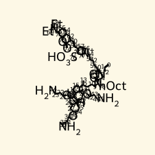 C=CCN(CC(=O)N(CCCCCCCC)CCCC(C)C1CC[C@H]2C3[C@H](OCCCN)CC4C[C@H](OCCCN)CCC4(C)[C@H]3C[C@H](OCCCN)C12C)C(=O)CCCCC[n+]1ccc(/C=C/c2cc3ccc(N(CC)CC)cc3oc2=O)c(S(=O)(=O)O)c1